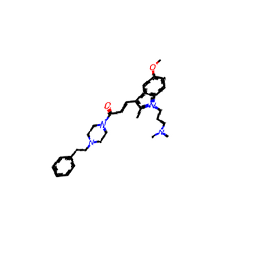 COc1ccc2c(c1)c(/C=C/C(=O)N1CCN(CCc3ccccc3)CC1)c(C)n2CCCN(C)C